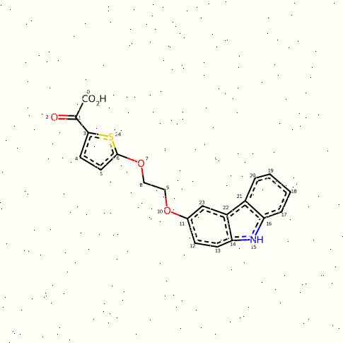 O=C(O)C(=O)c1ccc(OCCOc2ccc3[nH]c4ccccc4c3c2)s1